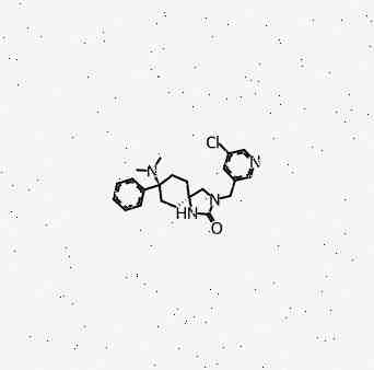 CN(C)[C@]1(c2ccccc2)CC[C@]2(CC1)CN(Cc1cncc(Cl)c1)C(=O)N2